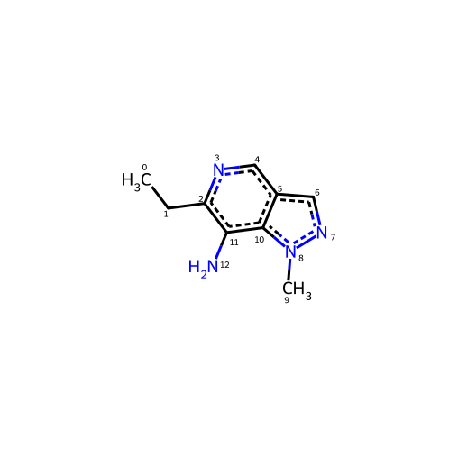 CCc1ncc2cnn(C)c2c1N